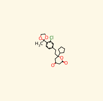 CC1(c2ccc(CCC3(C4CCCC4)CC(=O)CC(=O)O3)cc2Cl)OCCO1